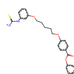 NC(=S)Nc1cccc(OCCCCCOc2ccc(C(=O)Oc3ccccc3)cc2)c1